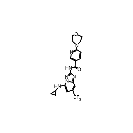 O=C(Nc1nc2cc(C(F)(F)F)cc(NC3CC3)n2n1)c1ccc(N2CCOCC2)nc1